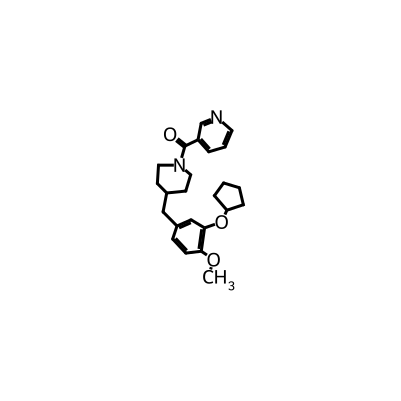 COc1ccc(CC2CCN(C(=O)c3cccnc3)CC2)cc1OC1CCCC1